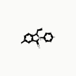 C=CC1c2ccc(C)cc2C(=O)N1c1ccccc1